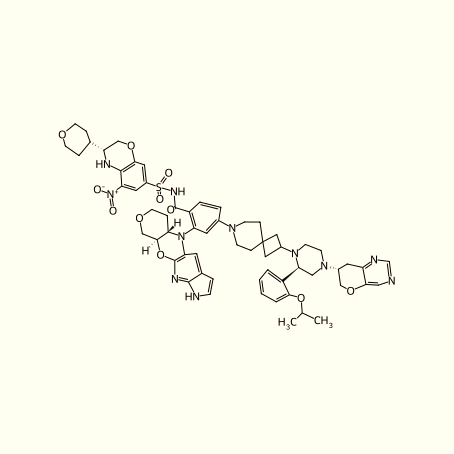 CC(C)Oc1ccccc1[C@@H]1CN([C@H]2COc3cncnc3C2)CCN1C1CC2(CCN(c3ccc(C(=O)NS(=O)(=O)c4cc5c(c([N+](=O)[O-])c4)N[C@H](C4CCOCC4)CO5)c(N4c5cc6cc[nH]c6nc5O[C@H]5COCC[C@@H]54)c3)CC2)C1